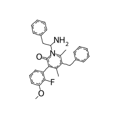 COc1cccc(-c2c(C)c(Cc3ccccc3)c(C)n(C(N)Cc3ccccc3)c2=O)c1F